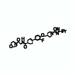 CC(C)c1noc(N2CCC(COc3ccc(C4=CCC(C(=O)NCC(=O)N5CCOCC5)CC4)cc3F)CC2)n1